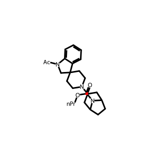 CCCOC(=O)N1C2CCC1CC(N1CCC3(CC1)CN(C(C)=O)c1ccccc13)C2